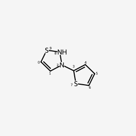 C1=CN(c2cccs2)NS1